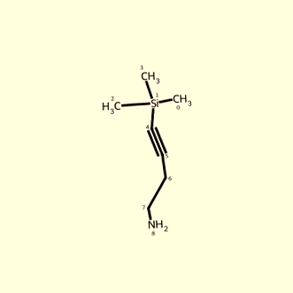 C[Si](C)(C)C#CCCN